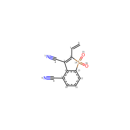 C=CC1=C(C#N)c2c(C#N)cccc2S1(=O)=O